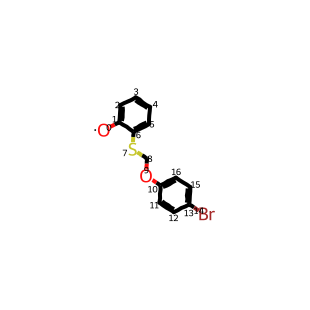 [O]c1ccccc1SCOc1ccc(Br)cc1